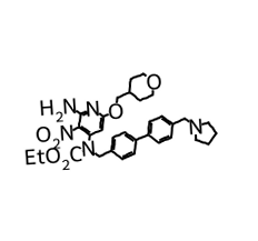 CCOC(=O)N(Cc1ccc(-c2ccc(CN3CCCC3)cc2)cc1)c1cc(OCC2CCOCC2)nc(N)c1[N+](=O)[O-]